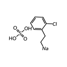 O=S(=O)(O)O.[Na][CH2]Cc1ccccc1Cl